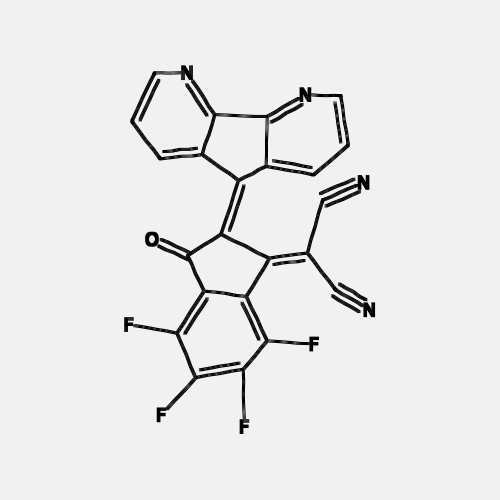 N#CC(C#N)=C1C(=C2c3cccnc3-c3ncccc32)C(=O)c2c(F)c(F)c(F)c(F)c21